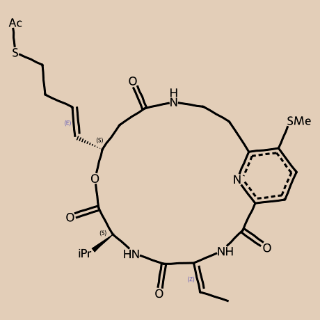 C/C=C1\NC(=O)c2ccc(SC)c(n2)CCNC(=O)C[C@@H](/C=C/CCSC(C)=O)OC(=O)[C@H](C(C)C)NC1=O